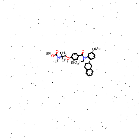 CCOC(=O)CN(C(=O)c1ccc(OCC(C)(C)N(CC)C(=O)OC(C)(C)C)cc1)c1cc(OC)ccc1[C@@H]1CCc2c[c]ccc2C1